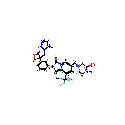 CN1CN=NC1CC1(c2cccc(-n3cc4c(C(F)(F)F)cc(CN5CCNC(=O)C5)cn4c3=O)c2)COC1